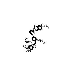 Cc1ccc(COc2cccc(-c3ccc(Cc4nc5ccc(C(=O)O)cc5n4C[C@@H]4CCO4)c(P)c3)n2)c(F)c1